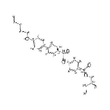 C=CCCCOc1ccc(-c2ccc(C(=O)Oc3ccc(C(=O)OC[C@@H](C)CC)cc3)cc2)cc1